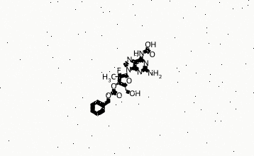 C[C@@]1(F)[C@H](OC(=O)OCc2ccccc2)[C@@H](CO)O[C@H]1n1cnc2c(NC(=O)O)nc(N)nc21